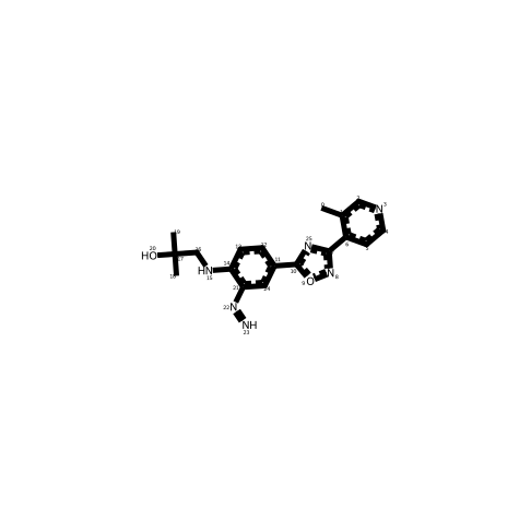 Cc1cnccc1-c1noc(-c2ccc(NCC(C)(C)O)c(N=N)c2)n1